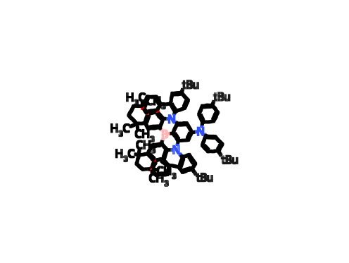 CC(C)(C)c1ccc(N(c2ccc(C(C)(C)C)cc2)c2cc3c4c(c2)N(c2ccc(C(C)(C)C)cc2-c2ccccc2)c2cc5c(cc2B4c2cc4c(cc2N3c2ccc(C(C)(C)C)cc2-c2ccccc2)C(C)(C)CCC4(C)C)C(C)(C)CCC5(C)C)cc1